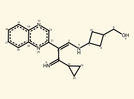 N=C(/C(=C\NC1CC(CO)C1)c1cnc2ccccc2n1)C1CC1